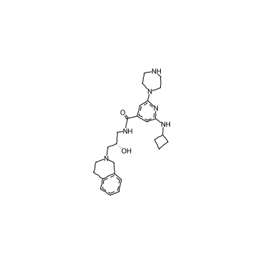 O=C(NC[C@H](O)CN1CCc2ccccc2C1)c1cc(NC2CCC2)nc(N2CCNCC2)c1